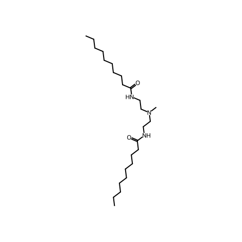 CCCCCCCCCC(=O)NCCN(C)CCNC(=O)CCCCCCCCC